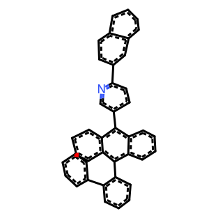 c1ccc(-c2ccccc2-c2c3ccccc3c(-c3ccc(-c4ccc5ccccc5c4)nc3)c3ccccc23)cc1